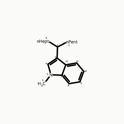 CCCCCCCC(CCCCC)c1cn(C)c2ccccc12